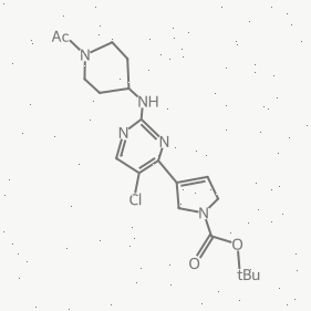 CC(=O)N1CCC(Nc2ncc(Cl)c(C3=CCN(C(=O)OC(C)(C)C)C3)n2)CC1